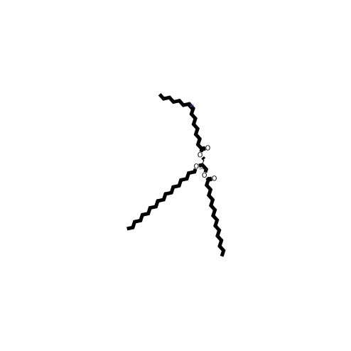 CCCCCC/C=C\CCCCCCCC(=O)OC[C@H](COC(=O)CCCCCCCCCCCCCCC)OCCCCCCCCCCCCCCCCCC